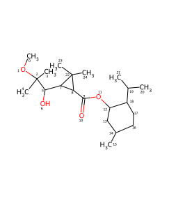 COC(C)(C)C(O)C1C(C(=O)OC2CC(C)CCC2C(C)C)C1(C)C